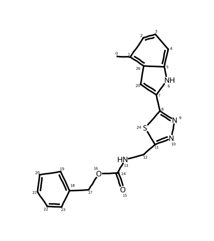 Cc1cccc2[nH]c(-c3nnc(CNC(=O)OCc4ccccc4)s3)cc12